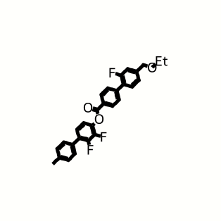 CCOCc1ccc(-c2ccc(C(=O)Oc3ccc(-c4ccc(C)cc4)c(F)c3F)cc2)c(F)c1